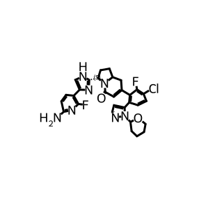 Nc1ccc(-c2c[nH]c([C@@H]3CCC4CC(c5c(-c6ccnn6C6CCCCO6)ccc(Cl)c5F)=CC(=O)N43)n2)c(F)n1